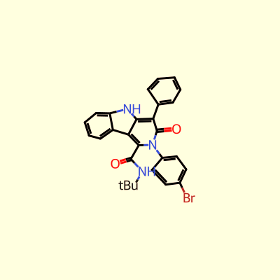 CC(C)(C)NC(=O)c1c2c([nH]c3ccccc32)c(-c2ccccc2)c(=O)n1-c1ccc(Br)cc1